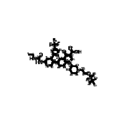 CCNC(=O)Nc1cc(-c2nc(C(F)(F)F)cs2)c(-c2ccc3c(c2)c(=O)c(C(=O)O)cn3C2CCCN(CCO[Si](C)(C)C(C)(C)C)C2)cn1